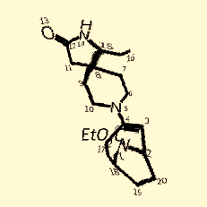 CCOC(=O)N1C2C=C(N3CCC4(CC3)CC(=O)NC4C)CC1CC2